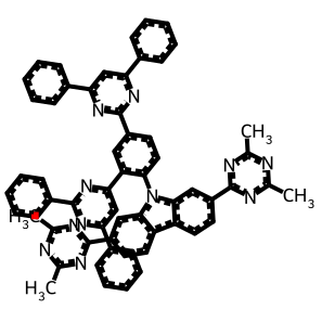 Cc1nc(C)nc(-c2ccc3c4ccc(-c5nc(C)nc(C)n5)cc4n(-c4ccc(-c5nc(-c6ccccc6)cc(-c6ccccc6)n5)cc4-c4cc(-c5ccccc5)nc(-c5ccccc5)n4)c3c2)n1